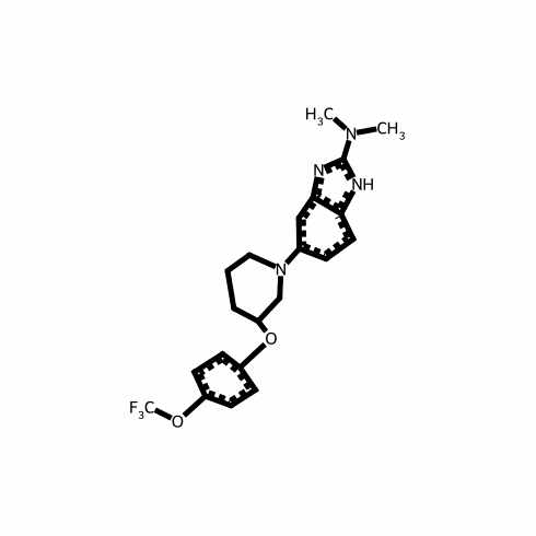 CN(C)c1nc2cc(N3CCCC(Oc4ccc(OC(F)(F)F)cc4)C3)ccc2[nH]1